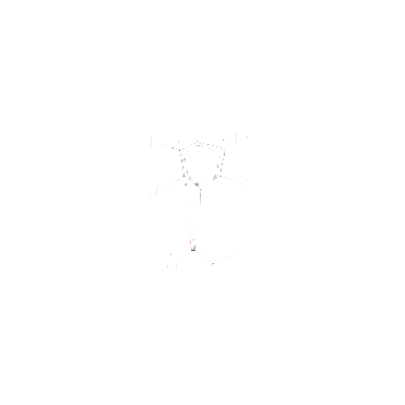 CCC(=O)O.Fc1cc(F)c(F)c(F)c1F